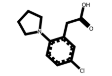 O=C(O)Cc1cc(Cl)ccc1N1CCCC1